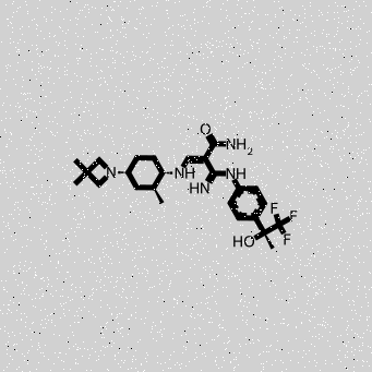 C[C@H]1C[C@H](N2CC(C)(C)C2)CC[C@@H]1N/C=C(\C(=N)Nc1ccc([C@@](C)(O)C(F)(F)F)cc1)C(N)=O